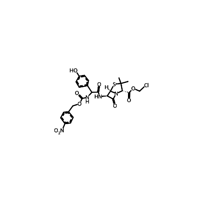 CC1(C)S[C@@H]2[C@H](NC(=O)C(NC(=O)OCc3ccc([N+](=O)[O-])cc3)c3ccc(O)cc3)C(=O)N2[C@H]1C(=O)OCCl